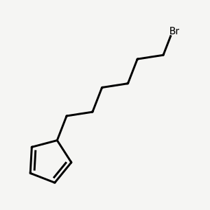 BrCCCCCCC1C=CC=C1